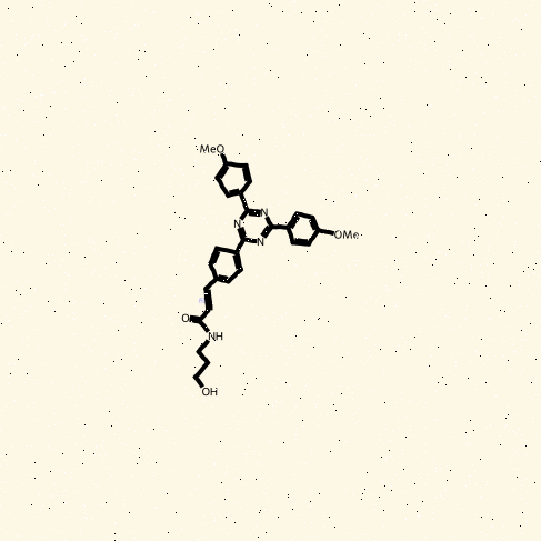 COc1ccc(-c2nc(-c3ccc(/C=C/C(=O)NCCCO)cc3)nc(-c3ccc(OC)cc3)n2)cc1